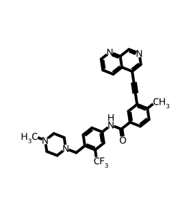 Cc1ccc(C(=O)Nc2ccc(CN3CCN(C)CC3)c(C(F)(F)F)c2)cc1C#Cc1cncc2ncccc12